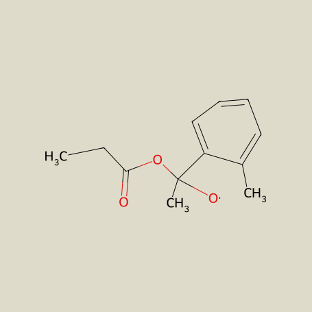 CCC(=O)OC(C)([O])c1ccccc1C